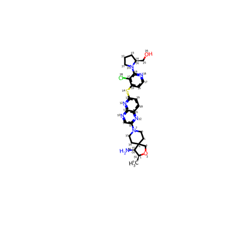 C[C@@H]1OCC2(CCN(c3cnc4nc(Sc5ccnc(N6CCC[C@H]6CO)c5Cl)ccc4n3)CC2)[C@@H]1N